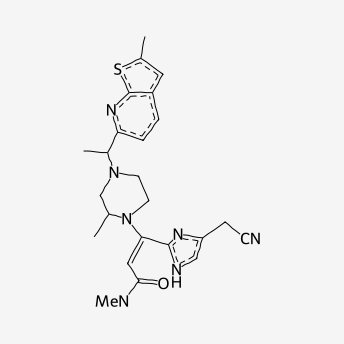 CNC(=O)/C=C(\c1nc(CC#N)c[nH]1)N1CCN(C(C)c2ccc3cc(C)sc3n2)CC1C